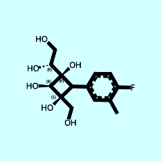 Cc1cc(C2[C@@](O)([C@H](O)CO)[C@H](O)[C@@]2(O)CO)ccc1F